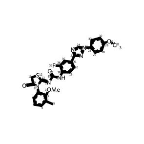 COc1c(C)cccc1N1C(=O)CS/C1=N\C(=O)Nc1ccc(-c2ncn(-c3ccc(OC(F)(F)F)cc3)n2)cc1F